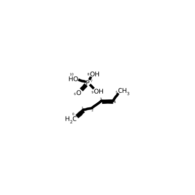 C=CCC=CC.O=P(O)(O)O